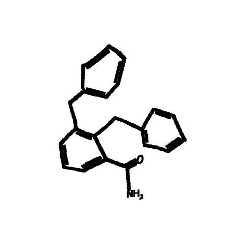 NC(=O)c1cccc(Cc2ccccc2)c1Cc1ccccc1